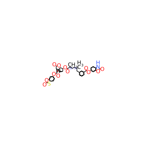 C/C(=C/C=C(\C)C(=O)OC1C2C[C@@H]3C1OC(=O)C3C2C(=O)Oc1ccc2sc(=O)oc2c1)Cc1cccc(C(=O)Oc2ccc3[nH]c(=O)oc3c2)c1